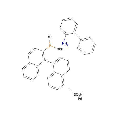 CC(C)(C)P(c1ccc2ccccc2c1-c1cccc2ccccc12)C(C)(C)C.CS(=O)(=O)O.Nc1ccccc1-c1[c-]cccc1.[Pd]